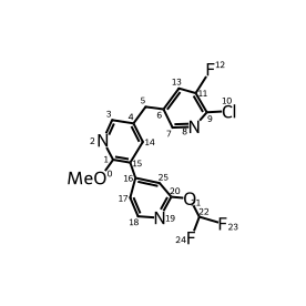 COc1ncc(Cc2cnc(Cl)c(F)c2)cc1-c1ccnc(OC(F)F)c1